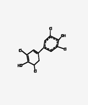 OC1=C(Cl)C=C(c2cc(Cl)c(O)c(Cl)c2)CC1Cl